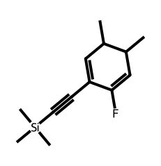 CC1C=C(F)C(C#C[Si](C)(C)C)=CC1C